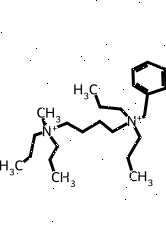 CCC[N+](C)(CCC)CCCC[N+](CCC)(CCC)Cc1ccccc1